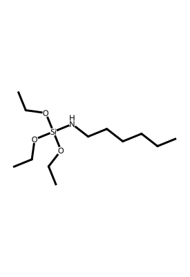 CCCCCCN[Si](OCC)(OCC)OCC